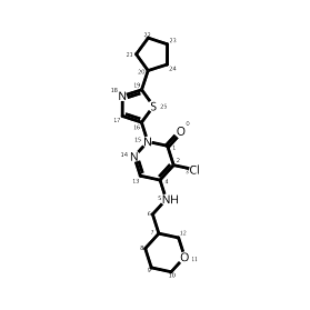 O=c1c(Cl)c(NCC2CCCOC2)cnn1-c1cnc(C2CCCC2)s1